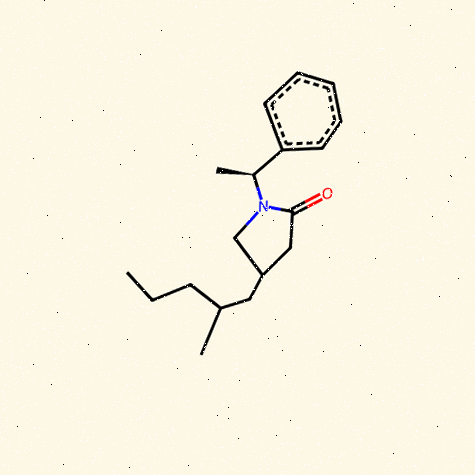 CCCC(C)CC1CC(=O)N([C@@H](C)c2ccccc2)C1